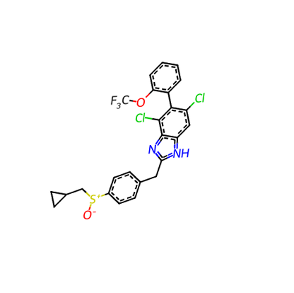 [O-][S+](CC1CC1)c1ccc(Cc2nc3c(Cl)c(-c4ccccc4OC(F)(F)F)c(Cl)cc3[nH]2)cc1